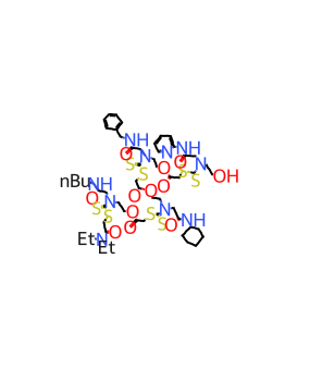 CCCCNC(=O)CN(CCOC(=O)CSC(=S)N(CCOC(=O)CSC(=S)N(CCOC(=O)CSC(=S)N(CCO)CC(=O)Nc1ccccn1)CC(=O)NCc1ccccc1)CC(=O)NC1CCCCC1)C(=S)SCC(=O)N(CC)CC